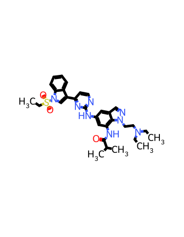 CCN(CC)CCn1ncc2cc(Nc3nccc(-c4cn(S(=O)(=O)CC)c5ccccc45)n3)cc(NC(=O)C(C)C)c21